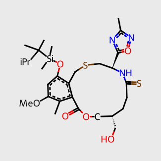 COc1cc(O[Si](C)(C)C(C)(C)C(C)C)c2c(c1C)C(=O)OC[C@@H](CO)CCC(=S)N[C@H](c1nc(C)no1)CSC2